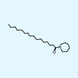 CCCCCCCCCCCCCCCC(=O)N1CCCCCC1